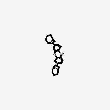 c1cc2c(cc1N1C3CCCC1CC3)Oc1cc(N3C4CCCC3CC4)ccc1N2